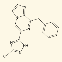 Clc1n[nH]c(-c2cn3ccnc3c(Cc3ccccc3)n2)n1